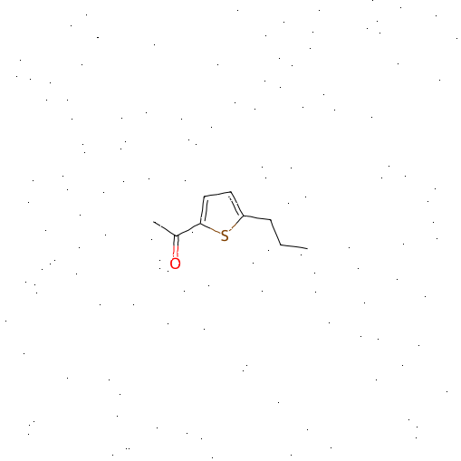 CCCc1ccc(C(C)=O)s1